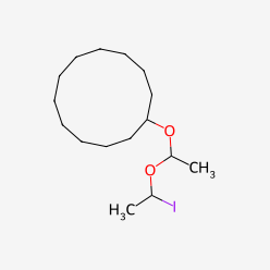 CC(I)OC(C)OC1CCCCCCCCCCC1